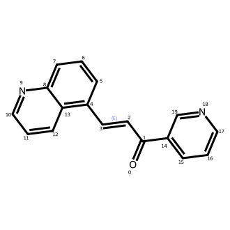 O=C(/C=C/c1cccc2ncccc12)c1cccnc1